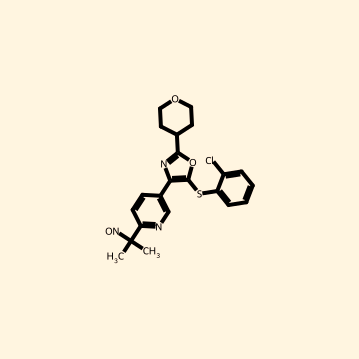 CC(C)(N=O)c1ccc(-c2nc(C3CCOCC3)oc2Sc2ccccc2Cl)cn1